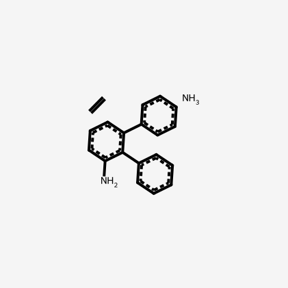 C=C.N.Nc1cccc(-c2ccccc2)c1-c1ccccc1